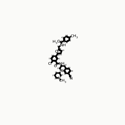 Cc1ccc(C(C)NCc2ccc(-c3ccc(Cl)c(C(=O)NC(CNC4CCCN(C)C4)Cc4ccc(C#N)cc4)c3)o2)cc1